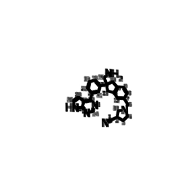 N#CC1CCN(Cc2ccc3c(c2)CC(CN)(c2cccc(-c4ncnc5[nH]ccc45)c2)C3)C1